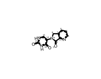 O=C1c2ncccc2CN1c1c[nH]c(=O)[nH]c1=O